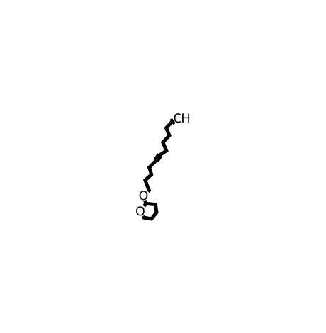 C#CCCCCC#CCCCCOC1CCCCO1